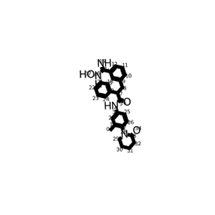 Cc1cc(NC(=O)C(Cc2cccc(C(=N)NO)c2)c2ccccc2)ccc1N1CCCCC1=O